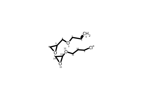 C=CCOCC1CO1.ClCCCOC1CO1